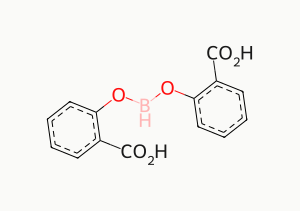 O=C(O)c1ccccc1OBOc1ccccc1C(=O)O